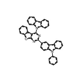 c1ccc(-n2c3ccccc3c3cc(-c4nc(-n5c6ccccc6c6ccccc65)c5c(n4)oc4ccccc45)ccc32)cc1